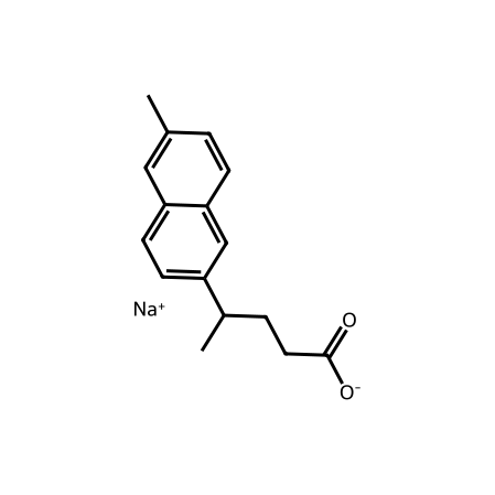 Cc1ccc2cc(C(C)CCC(=O)[O-])ccc2c1.[Na+]